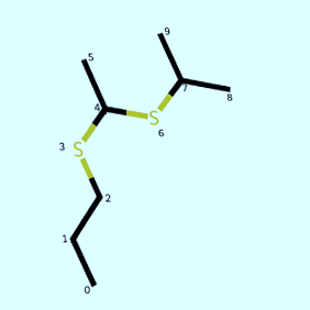 CCCS[C](C)SC(C)C